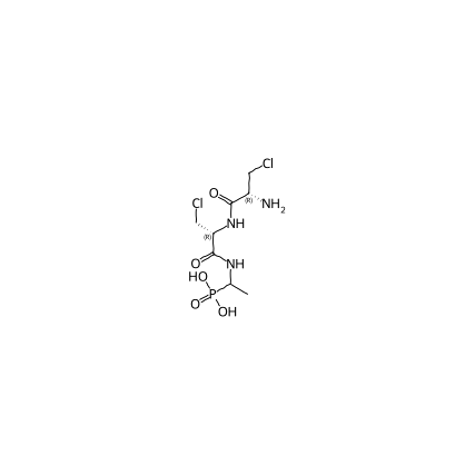 CC(NC(=O)[C@H](CCl)NC(=O)[C@@H](N)CCl)P(=O)(O)O